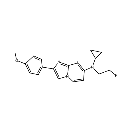 COc1ccc(-c2cn3ccc(N(CCF)C4CC4)nc3n2)cc1